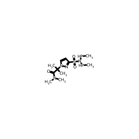 CPN(PC)S(=O)(=O)c1ccn(C(C)(C)C(=O)N(C)C)n1